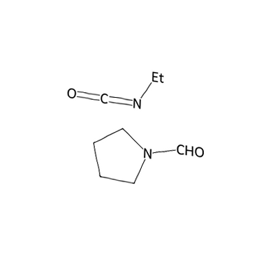 CCN=C=O.O=CN1CCCC1